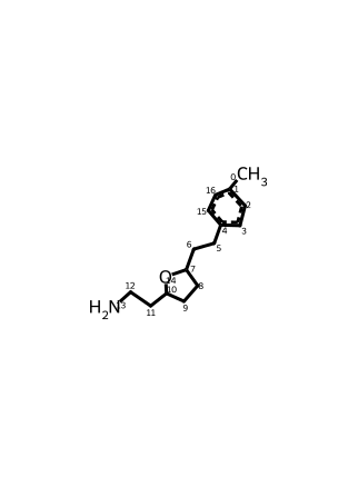 Cc1ccc(CCC2CCC(CCN)O2)cc1